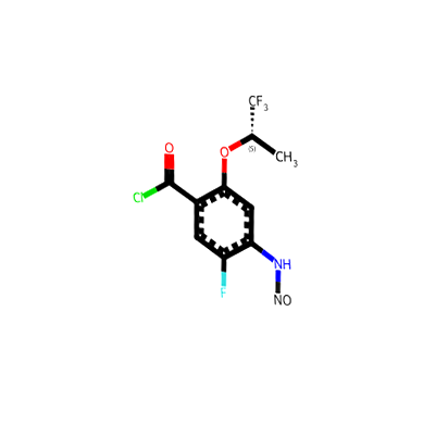 C[C@H](Oc1cc(NN=O)c(F)cc1C(=O)Cl)C(F)(F)F